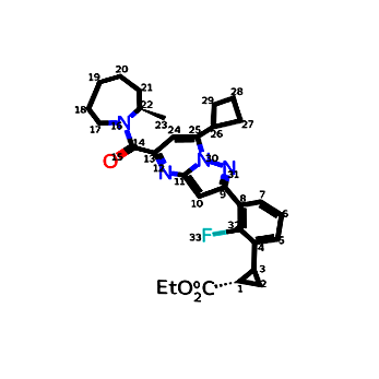 CCOC(=O)[C@H]1CC1c1cccc(-c2cc3nc(C(=O)N4CCCCC[C@H]4C)cc(C4CCC4)n3n2)c1F